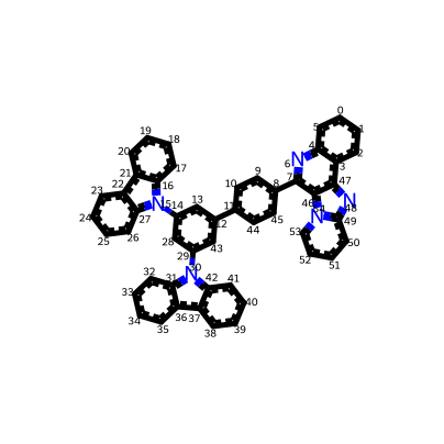 c1ccc2c(c1)nc(-c1ccc(-c3cc(-n4c5ccccc5c5ccccc54)cc(-n4c5ccccc5c5ccccc54)c3)cc1)c1c2nc2ccccn21